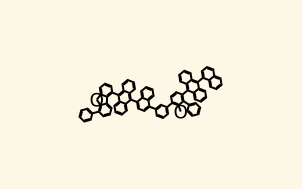 c1ccc(-c2cccc3c2oc2cccc(-c4c5ccccc5c(-c5ccc(-c6cccc(-c7ccc(-c8c9ccccc9c(-c9cccc%10ccccc9%10)c9ccccc89)c8c7oc7ccccc78)c6)c6ccccc56)c5ccccc45)c23)cc1